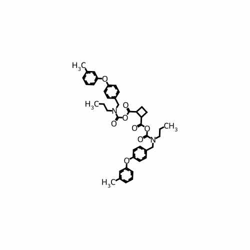 CCCN(Cc1ccc(Oc2cccc(C)c2)cc1)C(=O)OC(=O)C1CCC1C(=O)OC(=O)N(CCC)Cc1ccc(Oc2cccc(C)c2)cc1